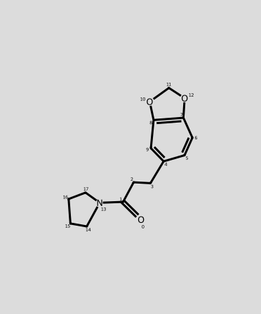 O=C(CCc1ccc2c(c1)OCO2)N1CCCC1